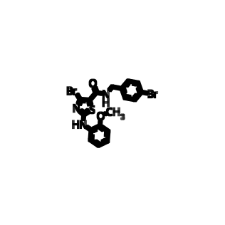 COc1ccccc1Nc1nc(Br)c(C(=O)NCc2ccc(Br)cc2)s1